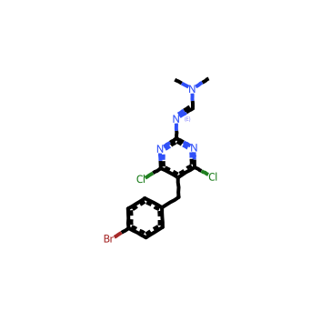 CN(C)/C=N/c1nc(Cl)c(Cc2ccc(Br)cc2)c(Cl)n1